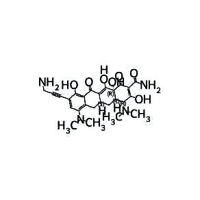 CN(C)c1cc(C#CCN)c(O)c2c1C[C@@H]1C[C@@H]3[C@@H](N(C)C)C(O)=C(C(N)=O)C(=O)[C@]3(O)C(O)=C1C2=O